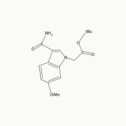 COc1ccc2c(C(N)=O)cn(CC(=O)OC(C)(C)C)c2c1